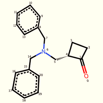 O=C1CC[C@H]1CN(Cc1ccccc1)Cc1ccccc1